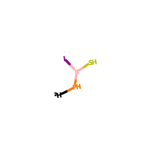 [2H]PB(S)I